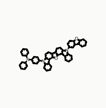 c1ccc(N(c2ccccc2)c2ccc(-n3c4ccccc4c4c5oc6c(ccc7c6c6ccccc6n7-c6ccc7oc8ccccc8c7c6)c5ccc43)cc2)cc1